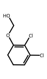 OCOC1=C(Cl)C(Cl)=CCC1